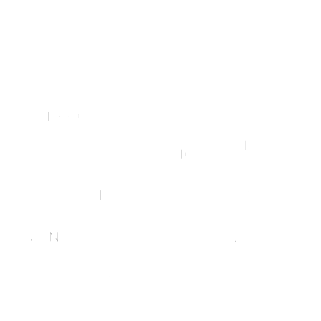 O=Cc1c([C@@H](Cc2c(Cl)c[n+]([O-])cc2Cl)c2ccc(OC(F)F)c(OCC3CC3)c2)ccc(C(=O)O)c1OCc1ccccc1